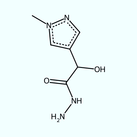 Cn1cc(C(O)C(=O)NN)cn1